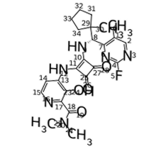 Cc1cnc(F)nc1[C@H](Nc1c(Nc2ccnc(C(=O)N(C)C)c2O)c(=O)c1=O)C1(C)CCCC1